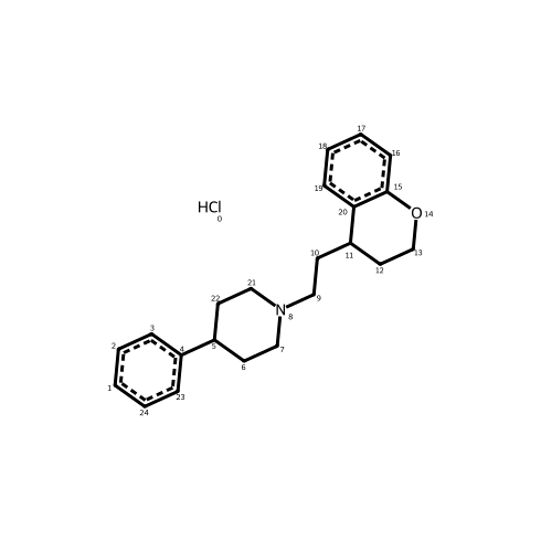 Cl.c1ccc(C2CCN(CCC3CCOc4ccccc43)CC2)cc1